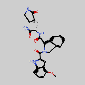 COc1cccc2[nH]c(C(=O)N3Cc4ccccc4C3C(=O)N[C@@H](C[C@@H]3CCNC3=O)C(N)=O)cc12